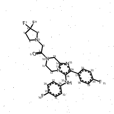 O=C(CN1CCC(F)(F)C1)N1CCn2c(nc(-c3ccc(F)cc3)c2Nc2ccc(F)cc2)C1